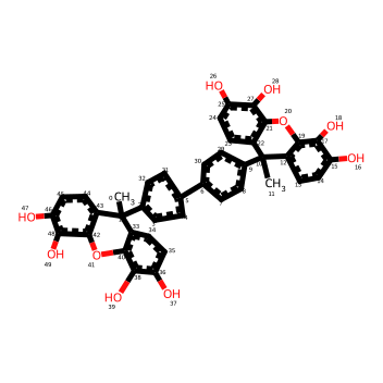 CC1(c2ccc(-c3ccc(C4(C)c5ccc(O)c(O)c5Oc5c4ccc(O)c5O)cc3)cc2)c2ccc(O)c(O)c2Oc2c1ccc(O)c2O